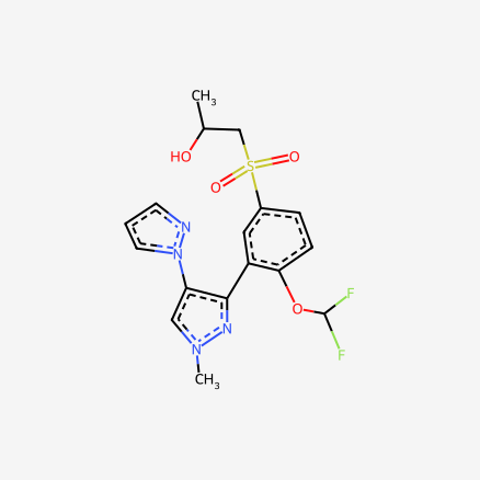 CC(O)CS(=O)(=O)c1ccc(OC(F)F)c(-c2nn(C)cc2-n2cccn2)c1